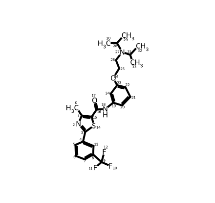 Cc1nc(-c2cccc(C(F)(F)F)c2)sc1C(=O)Nc1cccc(OCCN(C(C)C)C(C)C)c1